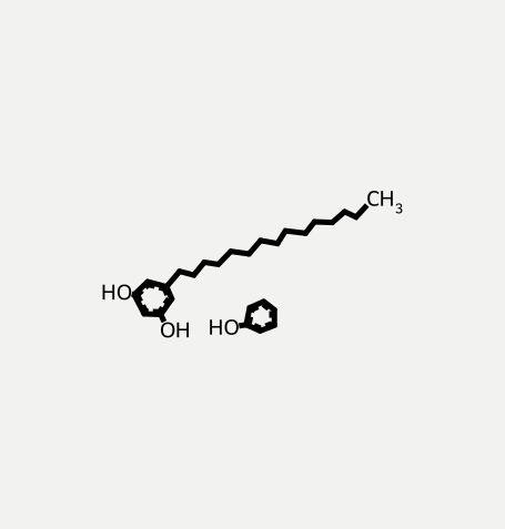 CCCCCCCCCCCCCCCc1cc(O)cc(O)c1.Oc1ccccc1